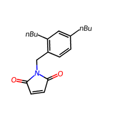 CCCCc1ccc(CN2C(=O)C=CC2=O)c(CCCC)c1